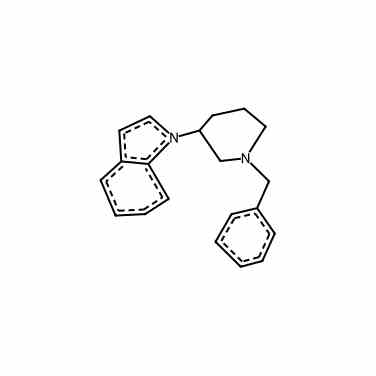 c1ccc(CN2CCCC(n3ccc4ccccc43)C2)cc1